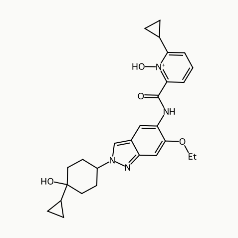 CCOc1cc2nn(C3CCC(O)(C4CC4)CC3)cc2cc1NC(=O)c1cccc(C2CC2)[n+]1O